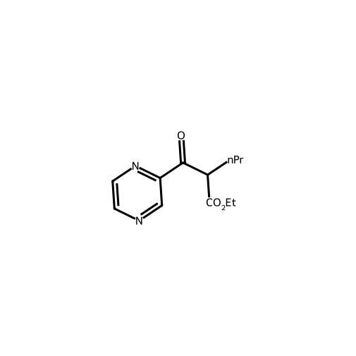 CCCC(C(=O)OCC)C(=O)c1cnccn1